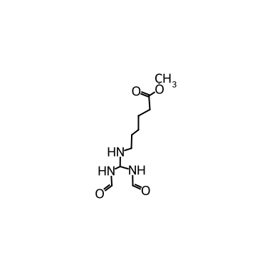 COC(=O)CCCCCNC(NC=O)NC=O